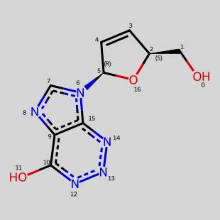 OC[C@@H]1C=C[C@H](n2cnc3c(O)nnnc32)O1